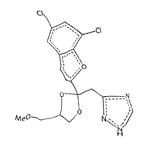 COCC1COC(Cc2nc[nH]n2)(c2cc3cc(Cl)cc(Cl)c3o2)O1